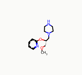 COC[C@@H](CN1CCNCC1)Oc1ccccn1